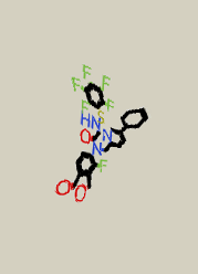 O=C1OCc2c1ccc(N(Cc1ccc(C3CCCCC3)cn1)C(=O)CNSc1c(F)c(F)c(F)c(F)c1F)c2F